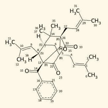 CC(C)=CC[C@@]12C[C@H]3[C@@H](C=C(C)C)[C@@](C(=O)c4ccccc4)(C1=O)C(=O)[C@@](CC=C(C)C)(C2=O)C3(C)C